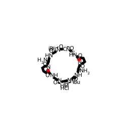 CC[C@H](C)[C@H]1C(=O)NC[C@@H](N)C(=O)N2CCCC[C@H]2C(=O)NCC(=O)N(C)CC(=O)N(C)[C@@H]([C@@H](C)CC)C(=O)NC[C@@H](N)C(=O)N2CCCC[C@H]2C(=O)NCC(=O)N(C)CC(=O)N1C.Cl.Cl